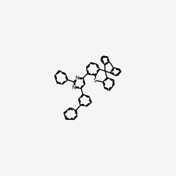 c1ccc(-c2cccc(-c3cc(-c4cccc5c4Sc4ccccc4C54c5ccccc5-c5ccccc54)nc(-c4ccccc4)n3)c2)cc1